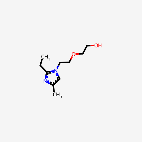 CCc1nc(C)cn1CCOCCO